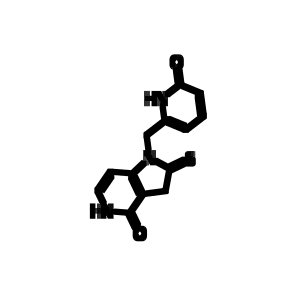 O=c1cccc(CN2C(=S)Cc3c2cc[nH]c3=O)[nH]1